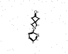 O=C1CC2(C1)CN(c1ccccn1)C2